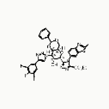 CCOC(=O)c1nnc([C@@H]2O[C@@H]3COC(c4ccccc4)O[C@@H]3[C@H](n3cc(-c4cc(F)c(F)c(F)c4)nn3)[C@H]2O)n1-c1ccc2nc(C)sc2c1